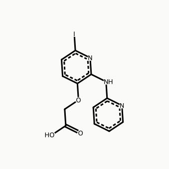 O=C(O)COc1ccc(I)nc1Nc1ccccn1